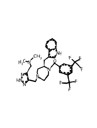 CN(C)Cc1n[nH]nc1CN1CCN(C(=O)c2cc(C(F)(F)F)cc(C(F)(F)F)c2)[C@H](Cc2c[nH]c3ccccc23)C1